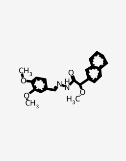 COc1ccc(/C=N/NC(=O)C(OC)c2ccc3ccccc3c2)cc1OC